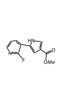 COC(=O)c1c[nH]c(-c2cccnc2F)c1